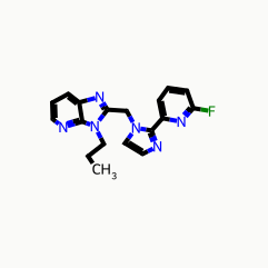 CCCn1c(Cn2ccnc2-c2cccc(F)n2)nc2cccnc21